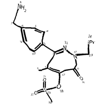 Cc1c(-c2ccc(CN)cc2)nn(CC(C)C)c(=O)c1OS(C)(=O)=O